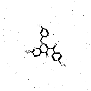 Cc1ccc(C(=O)c2cn(Cc3cccc(C(F)(F)F)c3)c3nc(C)ccc3c2=O)cc1